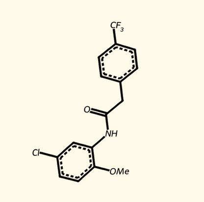 COc1ccc(Cl)cc1NC(=O)Cc1ccc(C(F)(F)F)cc1